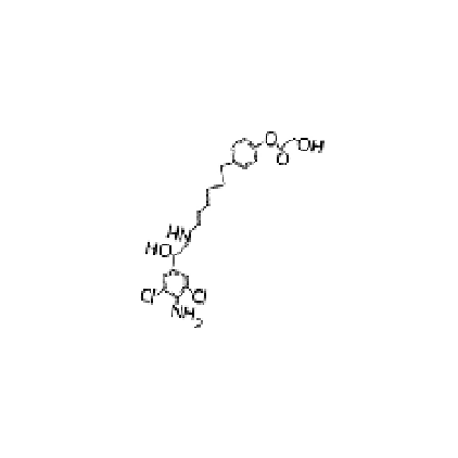 Nc1c(Cl)cc(C(O)CNCCCCCCc2ccc(OC(=O)CO)cc2)cc1Cl